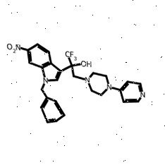 O=[N+]([O-])c1ccc2c(C(O)(CN3CCN(c4ccncc4)CC3)C(F)(F)F)cn(Cc3ccccc3)c2c1